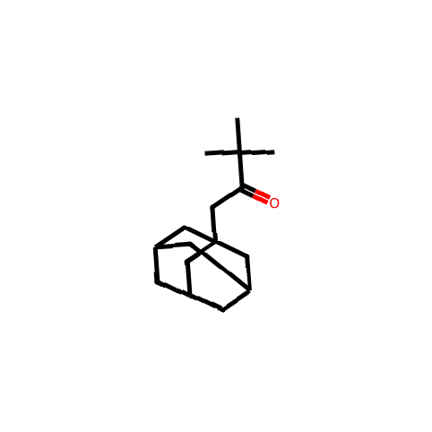 CC(C)(C)C(=O)CC12CC3CC(CC(C3)C1)C2